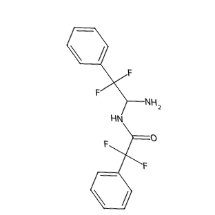 NC(NC(=O)C(F)(F)c1ccccc1)C(F)(F)c1ccccc1